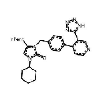 CCCCCc1cn(C2CCCCC2)c(=O)n1Cc1ccc(-c2ccncc2-c2nnn[nH]2)cc1